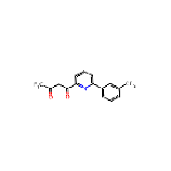 O=C(CC(=O)C(F)(F)F)c1cccc(-c2cccc(C(F)(F)F)c2)n1